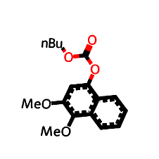 CCCCOC(=O)Oc1cc(OC)c(OC)c2ccccc12